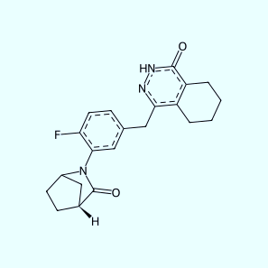 O=C1[C@@H]2CCC(C2)N1c1cc(Cc2n[nH]c(=O)c3c2CCCC3)ccc1F